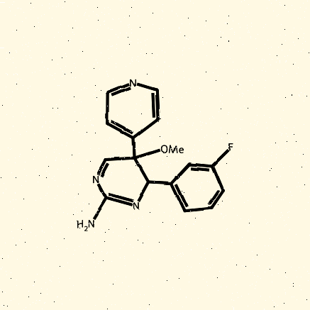 COC1(c2ccncc2)C=NC(N)=NC1c1cccc(F)c1